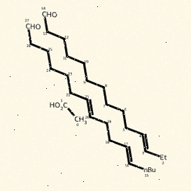 CC(=O)O.CC/C=C/CCCCCCCCCC=O.CCCC/C=C/CC/C=C/CCCCCC=O